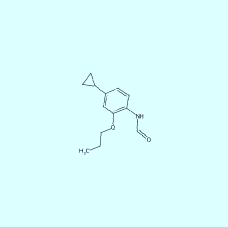 CCCOc1cc(C2CC2)ccc1NC=O